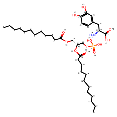 CCCCCCCCCCCC(=O)OC[C@H](COP(=O)(O)O)OC(=O)CCCCCCCCCCC.N[C@@H](Cc1ccc(O)c(O)c1)C(=O)O